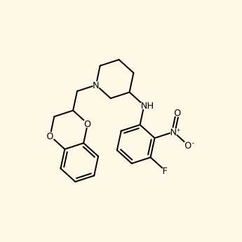 O=[N+]([O-])c1c(F)cccc1NC1CCCN(CC2COc3ccccc3O2)C1